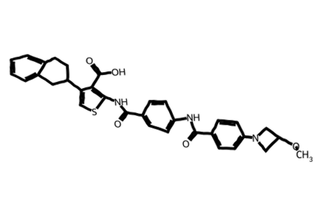 COC1CN(c2ccc(C(=O)Nc3ccc(C(=O)Nc4scc(C5CCc6ccccc6C5)c4C(=O)O)cc3)cc2)C1